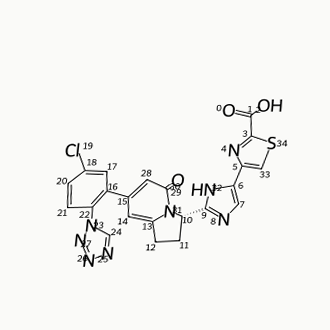 O=C(O)c1nc(-c2cnc([C@@H]3CCc4cc(-c5cc(Cl)ccc5-n5cnnn5)cc(=O)n43)[nH]2)cs1